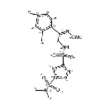 CO/N=C(\CNS(=O)(=O)c1ncn(S(=O)(=O)N(C)C)n1)c1ccc(C)cc1C